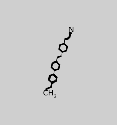 CCCc1ccc([C@H]2CC[C@H](CC[C@H]3CC[C@H](C=CC#N)CC3)CC2)cc1